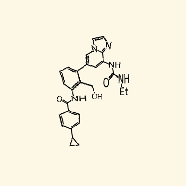 CCNC(=O)Nc1cc(-c2cccc(NC(=O)c3ccc(C4CC4)cc3)c2CO)cn2ccnc12